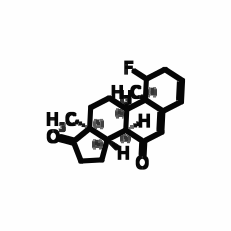 C[C@]12CC[C@H]3[C@@H](C(=O)C=C4C=CCC(F)[C@@]43C)[C@@H]1CCC2=O